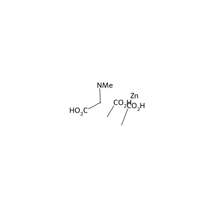 CC(=O)O.CC(=O)O.CNCC(=O)O.[Zn]